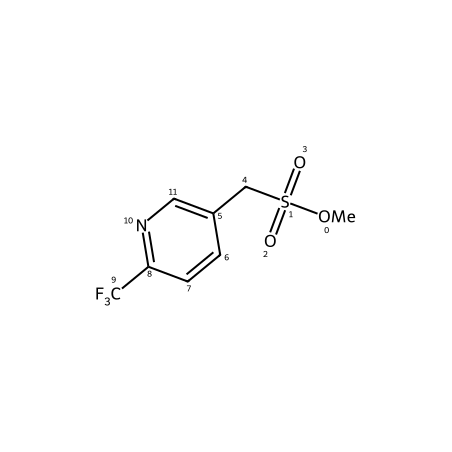 COS(=O)(=O)Cc1ccc(C(F)(F)F)nc1